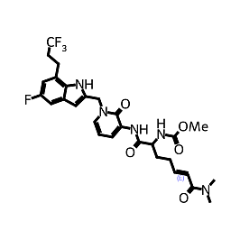 COC(=O)NC(CC/C=C/C(=O)N(C)C)C(=O)Nc1cccn(Cc2cc3cc(F)cc(CCC(F)(F)F)c3[nH]2)c1=O